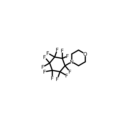 FC1(F)C(F)(F)C(F)(F)C(F)(N2CCOCC2)C(F)(F)C1(F)F